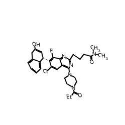 CCC(=O)N1CCN(c2nc(CCCC(=O)N(C)C)nc3c(F)c([C@H]4C=C(O)Cc5ccccc54)c(Cl)cc23)CC1